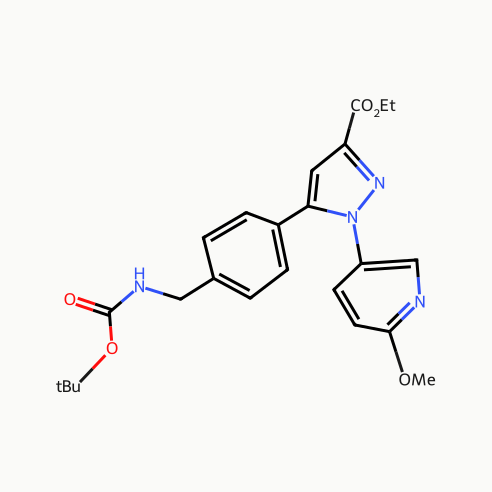 CCOC(=O)c1cc(-c2ccc(CNC(=O)OC(C)(C)C)cc2)n(-c2ccc(OC)nc2)n1